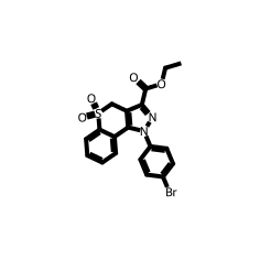 CCOC(=O)c1nn(-c2ccc(Br)cc2)c2c1CS(=O)(=O)c1ccccc1-2